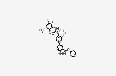 CN(C(=O)Nc1cc(C(F)(F)F)cn(C)c1=O)[C@@H]1CCN(c2cnc3[nH]nc(OC4CCOCC4)c3c2)C[C@@H]1F